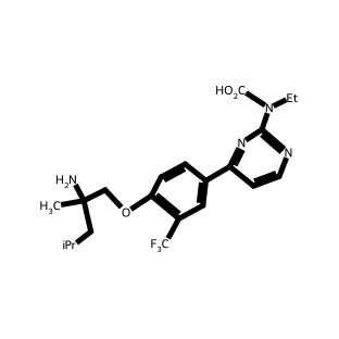 CCN(C(=O)O)c1nccc(-c2ccc(OCC(C)(N)CC(C)C)c(C(F)(F)F)c2)n1